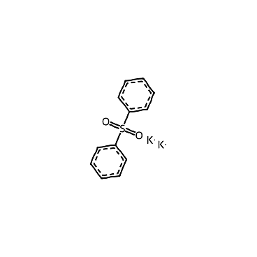 O=S(=O)(c1ccccc1)c1ccccc1.[K].[K]